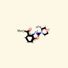 CCC[C@H]1COCCN1c1nc2c(C(=O)OC)cccc2o1